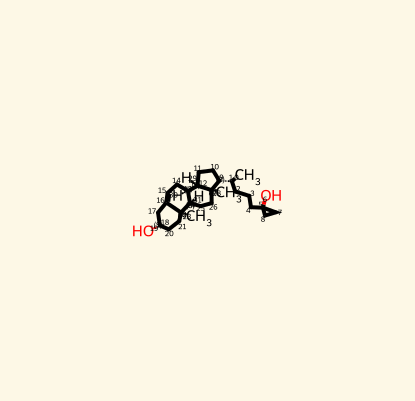 CC(CCCC1(O)CC1)[C@H]1CC[C@H]2[C@@H]3CC=C4C[C@@H](O)CC[C@]4(C)[C@H]3CC[C@]12C